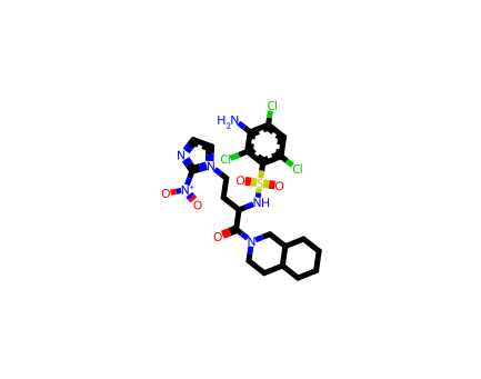 Nc1c(Cl)cc(Cl)c(S(=O)(=O)NC(CCn2ccnc2[N+](=O)[O-])C(=O)N2CCC3CCCCC3C2)c1Cl